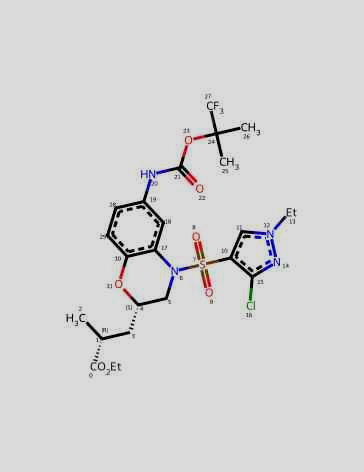 CCOC(=O)[C@H](C)C[C@H]1CN(S(=O)(=O)c2cn(CC)nc2Cl)c2cc(NC(=O)OC(C)(C)C(F)(F)F)ccc2O1